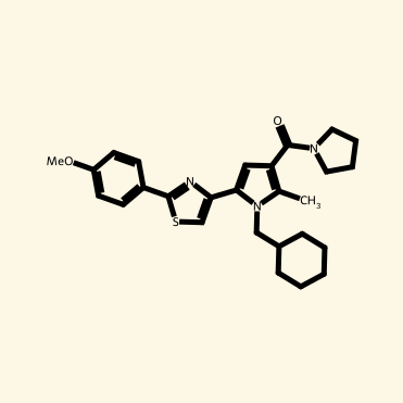 COc1ccc(-c2nc(-c3cc(C(=O)N4CCCC4)c(C)n3CC3CCCCC3)cs2)cc1